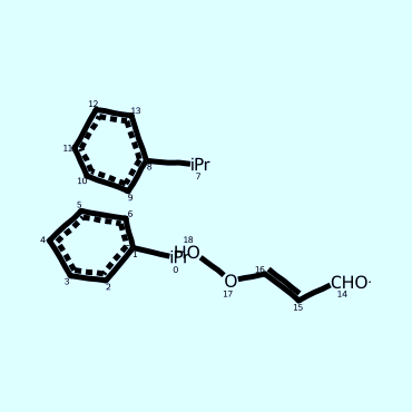 CC(C)c1ccccc1.CC(C)c1ccccc1.O=[C]C=COO